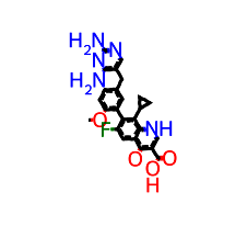 COc1ccc(Cc2cnc(N)nc2N)cc1-c1c(F)cc2c(=O)c(C(=O)O)c[nH]c2c1C1CC1